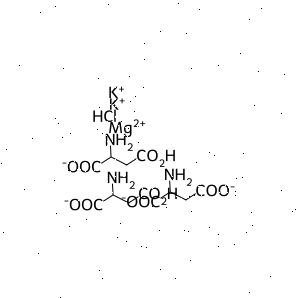 Cl.NC(CC(=O)O)C(=O)[O-].NC(CC(=O)O)C(=O)[O-].NC(CC(=O)[O-])C(=O)[O-].[K+].[K+].[Mg+2]